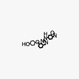 OC1CCC(Oc2cccc3cnc(Nc4ccc5ncoc5c4)nc23)CC1